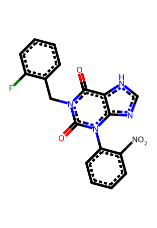 O=c1c2[nH]cnc2n(-c2ccccc2[N+](=O)[O-])c(=O)n1Cc1ccccc1F